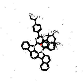 CCC(C)c1ccc(-c2nc(-n3c4ccccc4c4ccc5c6c7ccccc7ccc6n(-c6ccc7c(c6)C(C)(C)CC(C)C7(C)C)c5c43)c3oc4ccccc4c3n2)cc1